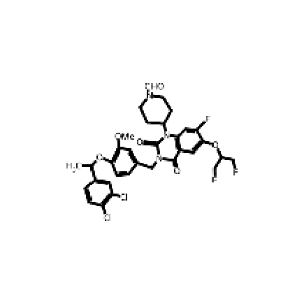 COc1cc(Cn2c(=O)c3cc(OC(CF)CF)c(F)cc3n(C3CCN(C=O)CC3)c2=O)ccc1OC(C)c1ccc(Cl)c(Cl)c1